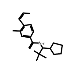 C=C(NC(C1CCCC1)C(C)(C)C)c1ccc(/C=C\C)c(C)c1